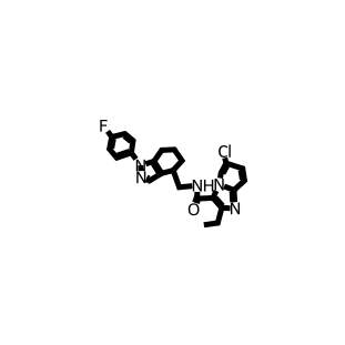 CCc1nc2ccc(Cl)cn2c1C(=O)NCC1CCCc2c1cnn2-c1ccc(F)cc1